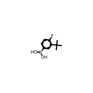 CC(C)(C)c1cc(B(O)O)ccc1F